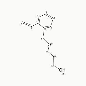 C=Cc1ccccc1COCCCO